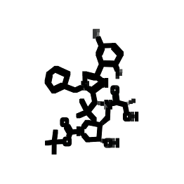 C[C@H](O)C(=O)N(C[C@@H]1CN(C(=O)OC(C)(C)C)C[C@H]1O)[C@@H](c1nc(-c2cc(F)ccc2F)cn1Cc1ccccc1)C(C)(C)C